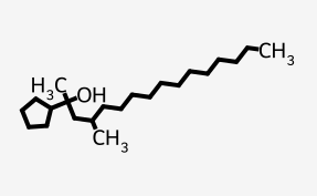 CCCCCCCCCCCCC(C)CC(C)(O)C1CCCC1